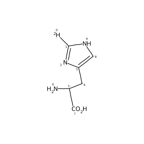 [2H]c1nc(CC(N)C(=O)O)c[nH]1